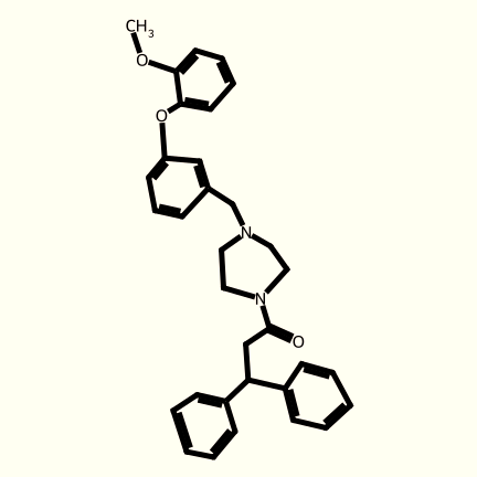 COc1ccccc1Oc1cccc(CN2CCN(C(=O)CC(c3ccccc3)c3ccccc3)CC2)c1